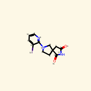 O=C1CC2(CCN(c3ncccc3I)C2)C(=O)N1